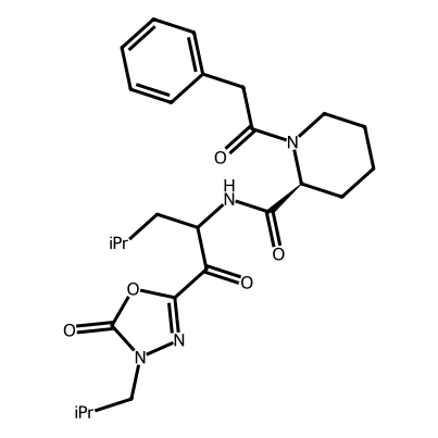 CC(C)CC(NC(=O)[C@@H]1CCCCN1C(=O)Cc1ccccc1)C(=O)c1nn(CC(C)C)c(=O)o1